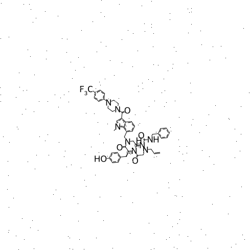 C=CCN1CC(=O)N2[C@@H](Cc3ccc(O)cc3)C(=O)N(Cc3cccc4c(C(=O)N5CCN(c6ccc(C(F)(F)F)cc6)CC5)cn(C)c34)C[C@@H]2N1C(=O)NCc1ccccc1